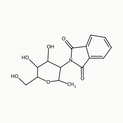 CC1OC(CO)C(O)C(O)C1N1C(=O)c2ccccc2C1=O